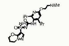 CNCCOc1cc(C(C)C)c(NC(=O)N=S(N)(=O)c2cnn3c2OCCC3)c(C(C)C)n1